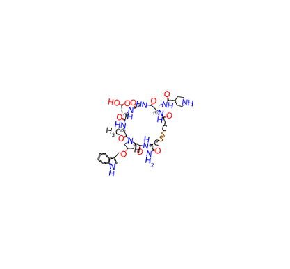 C[C@@H]1NC(=O)[C@H](CC(=O)O)NC(=O)CNC(=O)[C@H](CNC(=O)C2CCNCC2)NC(=O)CCSSC[C@@H](C(N)=O)NC(=O)[C@@H]2CC(OCc3c[nH]c4ccccc34)CN2C1=O